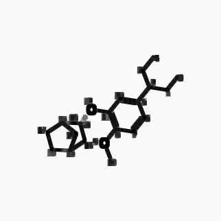 CCC(CC)c1ccc(OC)c(O[C@@H]2CC3CCC2C3)c1